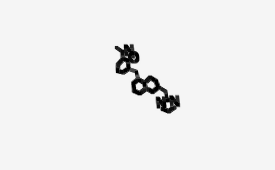 Cc1noc2c(Cc3cccc4cc(Cc5ncccn5)ccc34)cccc12